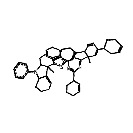 CC1(C2=NC(C3C=CCCC3)=NC(C3=CC=CCC3)N2)C=C(C2CC=CCC2)C=CC1C1=Cc2sc3c(c2CC1)CCC1N(c2ccccc2)C2CCCC=C2C31C